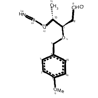 COc1ccc(CO[C@H](CC=O)[C@@H](C)OB=N)cc1